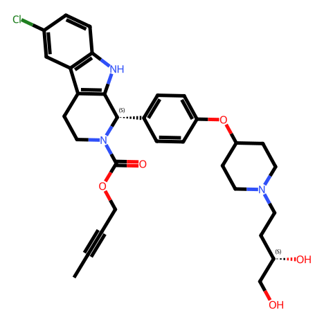 CC#CCOC(=O)N1CCc2c([nH]c3ccc(Cl)cc23)[C@@H]1c1ccc(OC2CCN(CC[C@H](O)CO)CC2)cc1